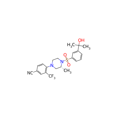 C[C@@H]1CN(c2ccc(C#N)cc2C(F)(F)F)CCN1S(=O)(=O)c1cccc(C(C)(C)O)c1